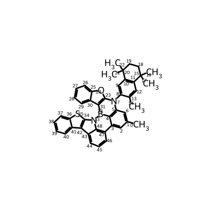 Cc1cc2c3c(c1)N(c1cc4c(cc1C)C(C)(C)CCC4(C)C)c1oc4ccccc4c1B3n1c3sc4ccccc4c3c3cccc-2c31